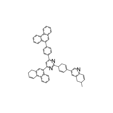 CC1C=Cc2ncc(C3=CCC(c4nc(-c5ccc(-c6cc7ccccc7c7ccccc67)cc5)cc(-c5cc6c(c7ccccc57)C=CCC6)n4)C=C3)cc2C1